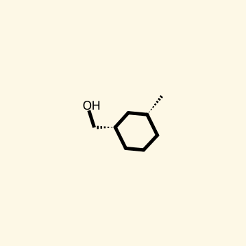 C[C@@H]1CCC[C@H](CO)C1